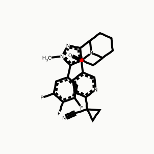 Cn1nc2c(c1-c1cc(F)c(F)c(F)c1)CC1CCCC2N1C(=O)c1ccc(C2(C#N)CC2)nc1